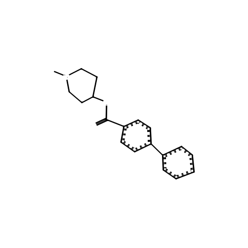 CN1CCC(OC(=O)c2ccc(-c3ccccc3)cc2)CC1